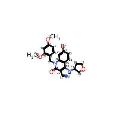 COc1ccc(Cn2c(=O)c3cnn(C4CCOC4)c3c3ccc(Br)cc32)c(OC)c1